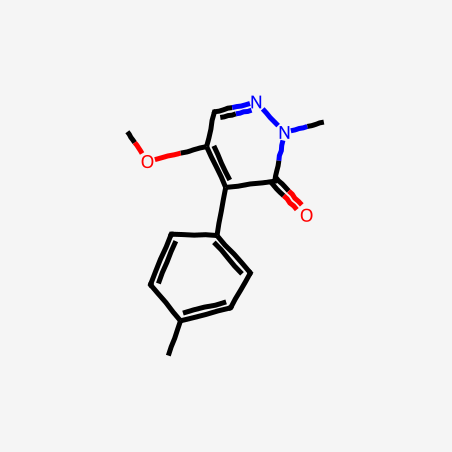 COc1cnn(C)c(=O)c1-c1ccc(C)cc1